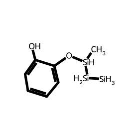 C[SiH](Oc1ccccc1O)[SiH2][SiH3]